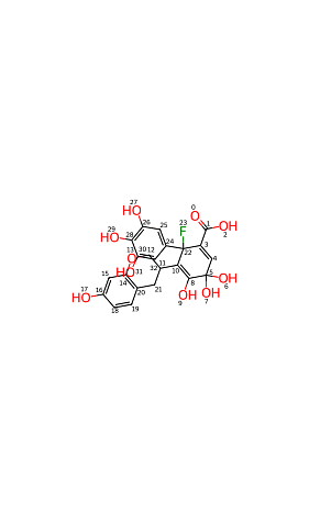 O=C(O)C1=CC(O)(O)C(O)=C(C2COc3cc(O)ccc3C2)C1(F)c1cc(O)c(O)c(O)c1